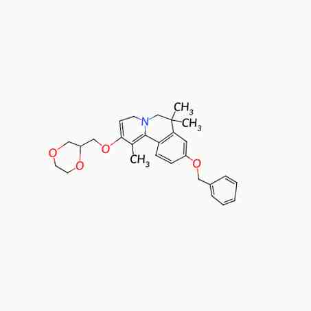 CC1=C2c3ccc(OCc4ccccc4)cc3C(C)(C)CN2CC=C1OCC1COCCO1